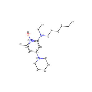 CCCCCCN(CC)c1cc(N2CCCCC2)cc(C)[n+]1[O-]